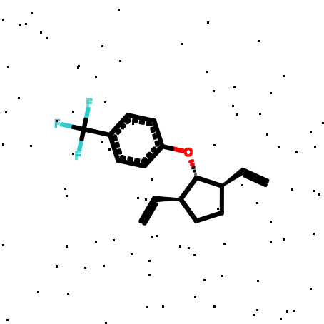 C=C[C@@H]1CC[C@H](C=C)[C@H]1Oc1ccc(C(F)(F)F)cc1